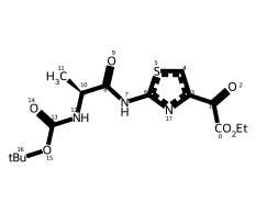 CCOC(=O)C(=O)c1csc(NC(=O)[C@H](C)NC(=O)OC(C)(C)C)n1